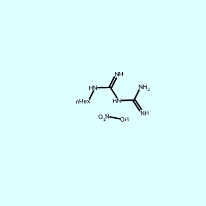 CCCCCCNC(=N)NC(=N)N.O=[N+]([O-])O